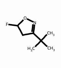 CC(C)(C)C1=NOC(F)C1